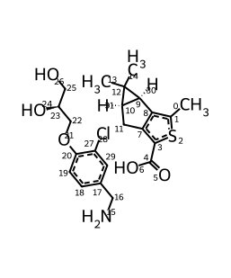 Cc1sc(C(=O)O)c2c1[C@H]1[C@@H](C2)C1(C)C.NCc1ccc(OC[C@@H](O)CO)c(Cl)c1